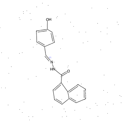 O=C(N/N=C/c1ccc(O)cc1)c1cccc2ccccc12